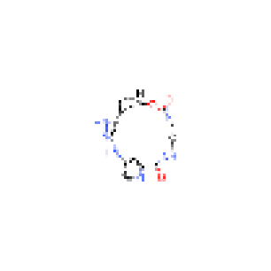 O=C1NCCCNC(=O)c2cc(ccn2)Nc2cc([nH]n2)C2CC[C@H](C2)O1